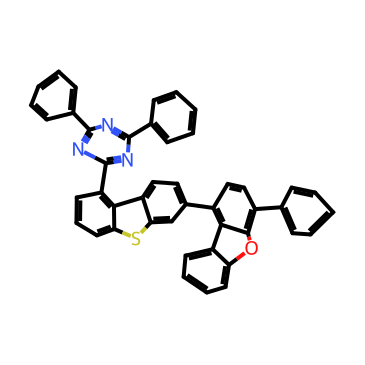 c1ccc(-c2nc(-c3ccccc3)nc(-c3cccc4sc5cc(-c6ccc(-c7ccccc7)c7oc8ccccc8c67)ccc5c34)n2)cc1